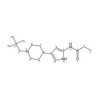 CCC(=O)Nc1cc(C2CCN(CC(C)(C)C)CC2)c[nH]1